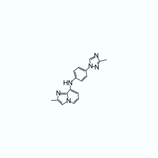 Cc1cn2cccc(Nc3ccc(-n4cnc(C)n4)cc3)c2n1